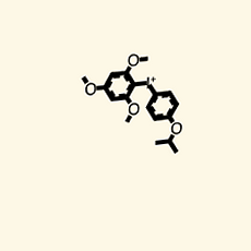 COc1cc(OC)c([I+]c2ccc(OC(C)C)cc2)c(OC)c1